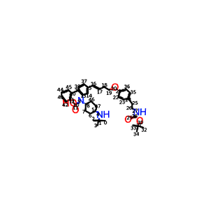 CC(C)(C)N[C@H]1CC[C@H](N(C(=O)O)c2cc(C=CCCOc3ccc(CCNC(=O)OC(C)(C)C)cc3)ccc2-c2ccccc2)CC1